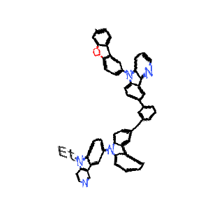 CCn1c2ccncc2c2cc(-n3c4ccccc4c4cc(-c5cccc(-c6ccc7c(c6)c6ncccc6n7-c6ccc7oc8ccccc8c7c6)c5)ccc43)ccc21